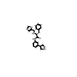 O=C(Nc1cccc(-c2cn[nH]c2)c1)[C@H](Cc1ccccc1)NCc1cncs1